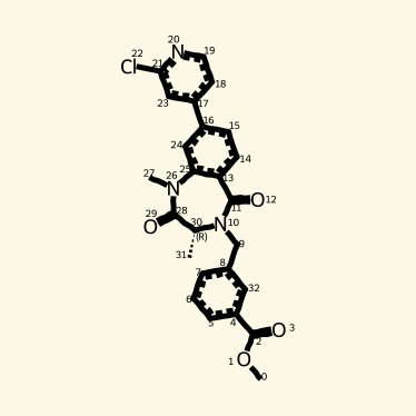 COC(=O)c1cccc(CN2C(=O)c3ccc(-c4ccnc(Cl)c4)cc3N(C)C(=O)[C@H]2C)c1